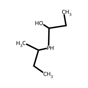 CCC(C)PC(O)CC